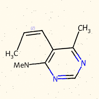 C/C=C\c1c(C)ncnc1NC